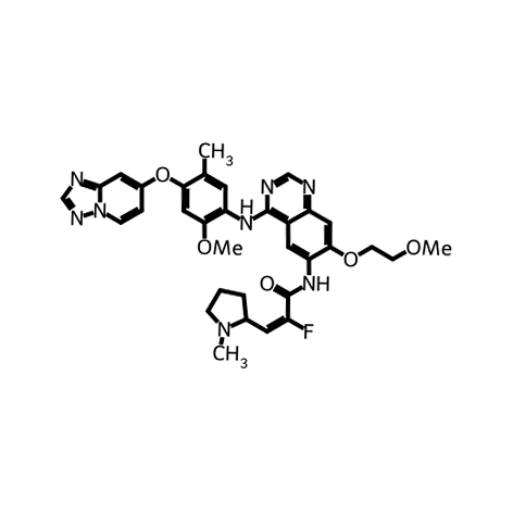 COCCOc1cc2ncnc(Nc3cc(C)c(Oc4ccn5ncnc5c4)cc3OC)c2cc1NC(=O)/C(F)=C\C1CCCN1C